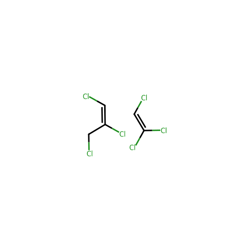 Cl/C=C(/Cl)CCl.ClC=C(Cl)Cl